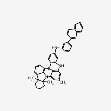 Cc1cc2c3c(c1)N1c4c(cccc4C4(C)CCCCC14C)B3c1ccc(Nc3cccc(-c4ccc5ccccc5c4)c3)cc1N2